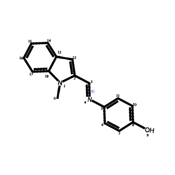 Cn1c(/C=N/c2ccc(O)cc2)cc2ccccc21